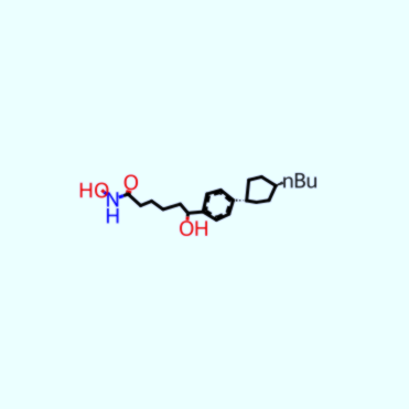 CCCC[C@H]1CC[C@H](c2ccc(C(O)CCCCC(=O)NO)cc2)CC1